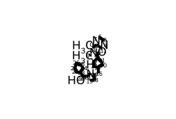 CC(c1cnccn1)N(C)C(=O)c1ccc(C[C@@H]2CC[C@H]([C@H](O)c3ccccc3)N2)cc1